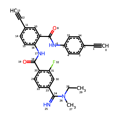 C#Cc1ccc(NC(=O)c2cc(C#C)ccc2NC(=O)c2ccc(C(=N)N(C)CC)cc2F)cc1